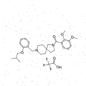 COc1cccc(C(=O)N2CCC3(CCN(Cc4ccccc4OCC(C)C)CC3)C2)c1OC.O=C(O)C(F)(F)F